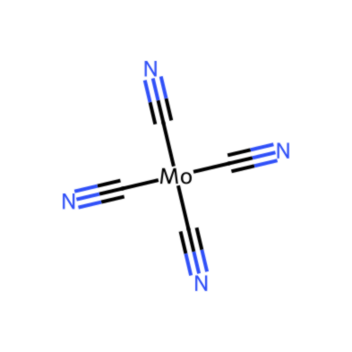 N#[C][Mo]([C]#N)([C]#N)[C]#N